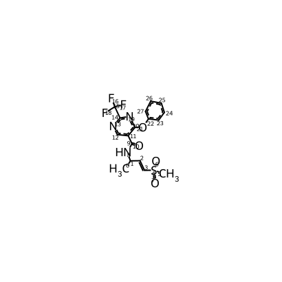 CC(C=CS(C)(=O)=O)NC(=O)c1cnc(C(F)(F)F)nc1Oc1ccccc1